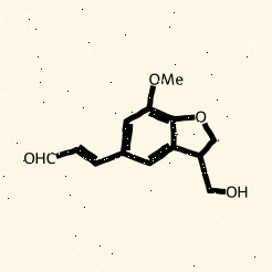 COc1cc(C=CC=O)cc2c1O[CH]C2CO